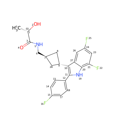 C[C@H](O)C(=O)NC[C@H]1C[C@H](c2c(-c3ccc(F)cc3)[nH]c3c(F)cc(F)cc32)C1